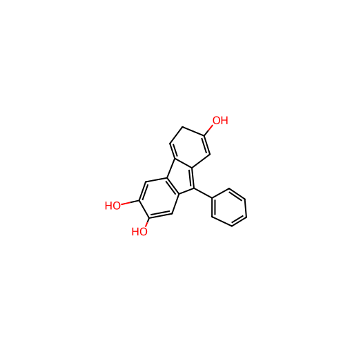 OC1=CC2=C(c3ccccc3)c3cc(O)c(O)cc3C2=CC1